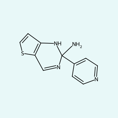 NC1(c2ccncc2)N=Cc2sccc2N1